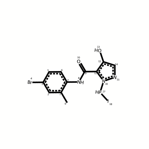 Cc1cc(Br)ccc1NC(=O)c1c(O)cnn1PI